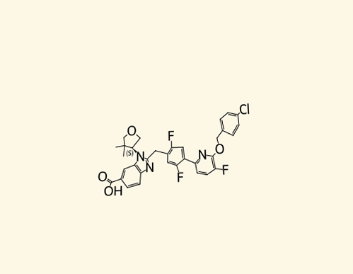 CC1(C)COC[C@H]1n1c(Cc2cc(F)c(-c3ccc(F)c(OCc4ccc(Cl)cc4)n3)cc2F)nc2ccc(C(=O)O)cc21